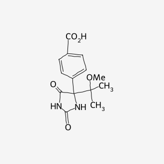 COC(C)(C)C1(c2ccc(C(=O)O)cc2)NC(=O)NC1=O